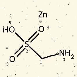 NCS(=O)(=O)O.[Zn]